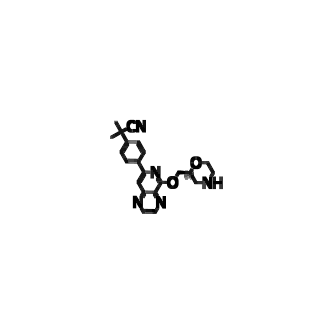 CC(C)(C#N)c1ccc(-c2cc3nccnc3c(OC[C@@H]3CNCCO3)n2)cc1